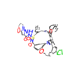 CO[C@H]1/C=C/C[C@H](C)CS(=O)(NC(=O)c2cc3n(n2)CCCO3)=NC(=O)c2ccc3c(c2)N(Cc2ccc(Cl)cc2CCCCO3)C[C@@H]2CC[C@H]21